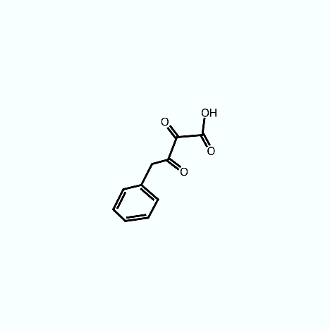 O=C(O)C(=O)C(=O)Cc1ccccc1